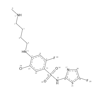 CNCCCCNc1cc(F)c(S(=O)(=O)Nc2ncc(F)s2)cc1Cl